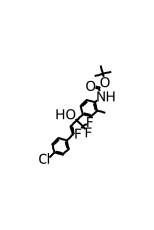 Cc1cc(C(O)(/C=C/c2ccc(Cl)cc2)C(F)(F)F)ccc1NC(=O)OC(C)(C)C